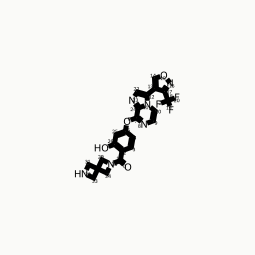 O=C(c1ccc(Oc2nccn3c(-c4conc4C(F)(F)F)cnc23)cc1O)N1CC2(CNC2)C1